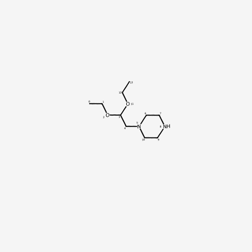 CCOC(CN1CCNCC1)OCC